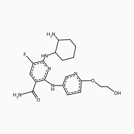 NC(=O)c1cc(F)c(NC2CCCCC2N)nc1Nc1ccc(OCCO)nc1